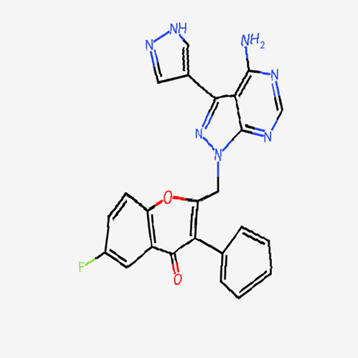 Nc1ncnc2c1c(-c1cn[nH]c1)nn2Cc1oc2ccc(F)cc2c(=O)c1-c1ccccc1